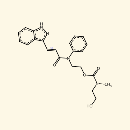 CN(CCO)C(=O)OCCN(C(=O)/C=C/c1n[nH]c2ccccc12)c1ccccc1